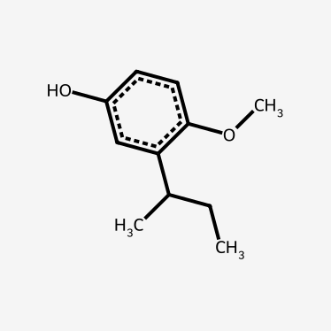 CCC(C)c1cc(O)ccc1OC